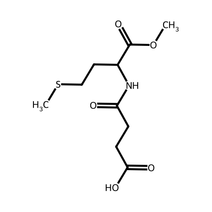 COC(=O)C(CCSC)NC(=O)CCC(=O)O